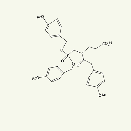 CC(=O)Oc1ccc(COP(=O)(CC(CCC(=O)O)C(=O)Cc2ccc(OC(C)=O)cc2)OCc2ccc(OC(C)=O)cc2)cc1